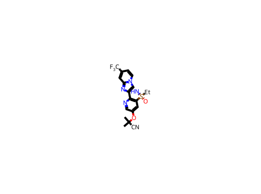 CCS(=N)(=O)c1cc(OC(C)(C)C#N)cnc1-c1cn2ccc(C(F)(F)F)cc2n1